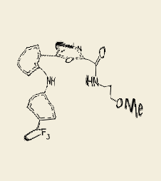 COCCNC(=O)c1nnc(-c2ccccc2Nc2ccc(C(F)(F)F)cc2)o1